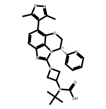 Cc1noc(C)c1-c1ccc2nc(N3CC(N(C(=O)O)C(C)(C)C)C3)n3c2c1OC[C@@H]3c1ccccn1